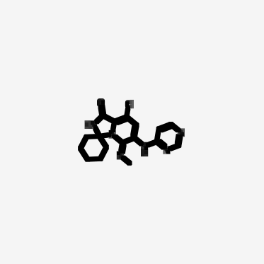 CN=c1c(Nc2ccncn2)cc(Cl)c2n1C1(CCCCC1)NC2=O